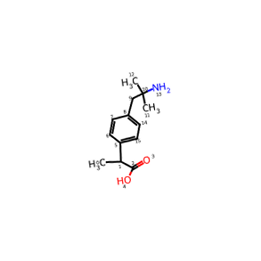 CC(C(=O)O)c1ccc(CC(C)(C)N)cc1